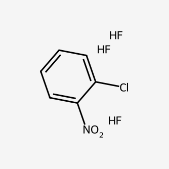 F.F.F.O=[N+]([O-])c1ccccc1Cl